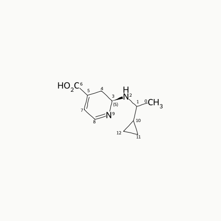 CC(N[C@@H]1CC(C(=O)O)=CC=N1)C1CC1